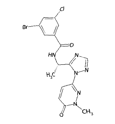 C[C@H](NC(=O)c1cc(Cl)cc(Br)c1)c1ncnn1-c1ccc(=O)n(C)n1